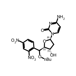 CCCCOC(c1ccc([N+](=O)[O-])cc1[N+](=O)[O-])[C@H]1O[C@@H](n2ccc(N)nc2=O)C[C@@H]1O